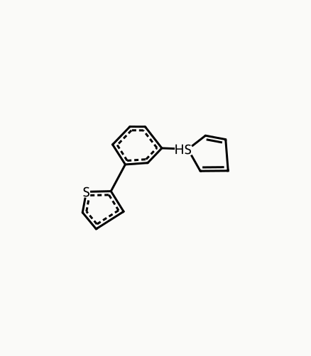 C1=C[SH](c2cccc(-c3cccs3)c2)C=C1